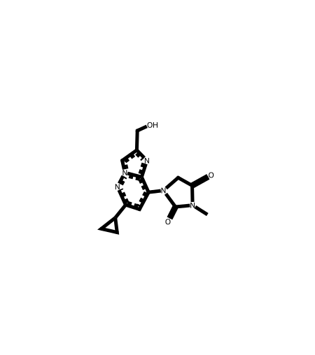 CN1C(=O)CN(c2cc(C3CC3)nn3cc(CO)nc23)C1=O